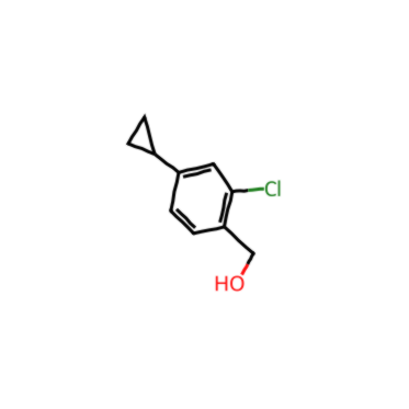 OCc1ccc(C2CC2)cc1Cl